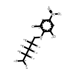 O=[N+]([O-])c1cc(Cl)c(OCC(F)(F)C(F)(F)C(F)(F)C(F)F)c(Cl)c1